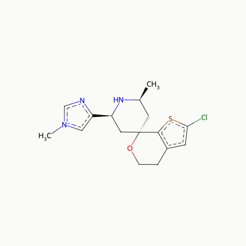 C[C@H]1C[C@@]2(C[C@@H](c3cn(C)cn3)N1)OCCc1cc(Cl)sc12